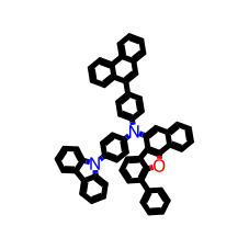 c1ccc(-c2cccc3c2oc2c4ccccc4cc(N(c4ccc(-c5cc6ccccc6c6ccccc56)cc4)c4ccc(-n5c6ccccc6c6ccccc65)cc4)c32)cc1